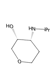 CC(C)N[C@@H]1CCOC[C@@H]1O